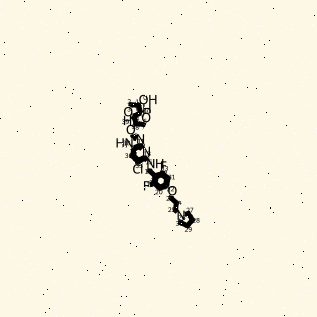 O[C@@H]1CO[C@H]2[C@@H]1OC[C@H]2Oc1nc2nc(NCc3c(F)cc(OCCCN4CCCC4)cc3F)c(Cl)cc2[nH]1